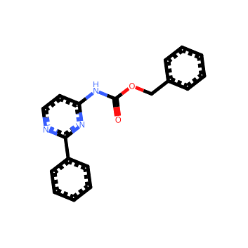 O=C(Nc1ccnc(-c2ccccc2)n1)OCc1ccccc1